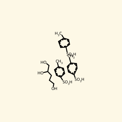 Cc1ccc(S(=O)(=O)O)cc1.Cc1ccc(S(=O)(=O)O)cc1.Cc1ccc(S(=O)(=O)O)cc1.OCCCC(O)CO